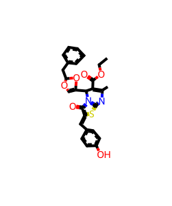 CCOC(=O)C1=C(C)N=c2sc(=Cc3ccc(O)cc3)c(=O)n2C1C1=COC(Cc2ccccc2)O1